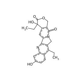 CCc1c2c(nc3cc(O)ccc13)-c1cc3c(c(=O)n1C2)COC(=O)C3(O)CC